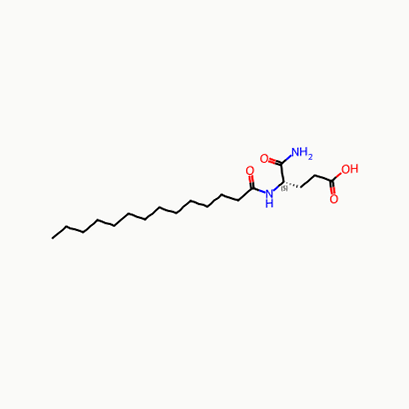 CCCCCCCCCCCCCC(=O)N[C@@H](CCC(=O)O)C(N)=O